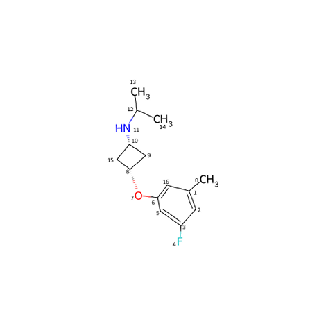 Cc1cc(F)cc(O[C@H]2C[C@@H](NC(C)C)C2)c1